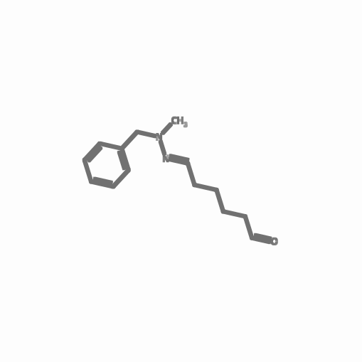 CN(Cc1ccccc1)/N=C/CCCCC=O